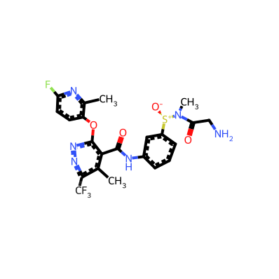 Cc1nc(F)ccc1Oc1nnc(C(F)(F)F)c(C)c1C(=O)Nc1cccc([S@@+]([O-])N(C)C(=O)CN)c1